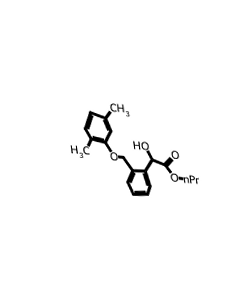 CCCOC(=O)C(O)c1ccccc1COc1cc(C)ccc1C